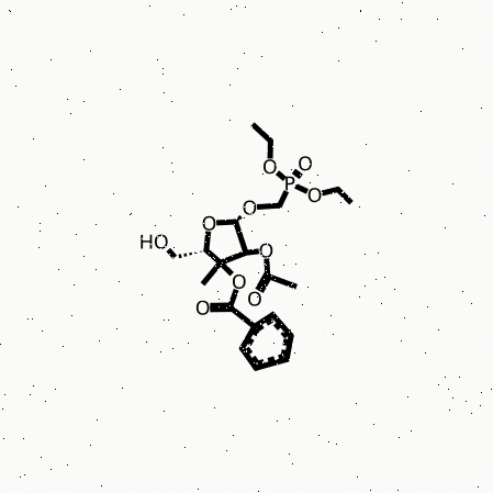 CCOP(=O)(CO[C@H]1O[C@@H](CO)C(C)(OC(=O)c2ccccc2)C1OC(C)=O)OCC